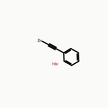 Br.[Zn][C]#Cc1ccccc1